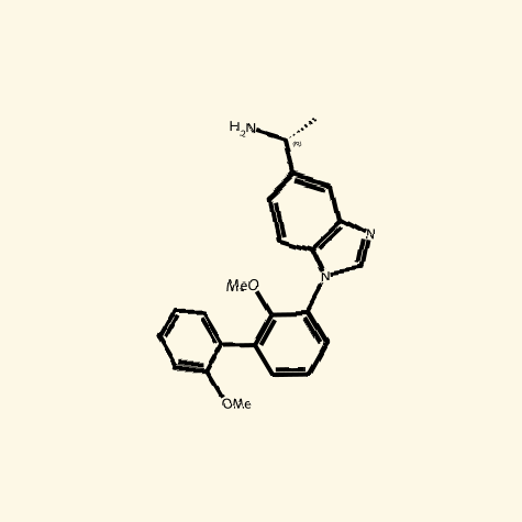 COc1ccccc1-c1cccc(-n2cnc3cc([C@@H](C)N)ccc32)c1OC